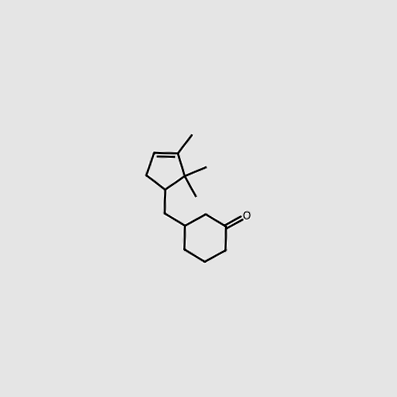 CC1=CCC(CC2CCCC(=O)C2)C1(C)C